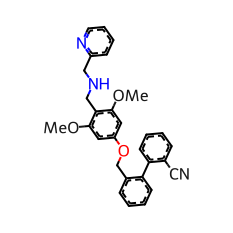 COc1cc(OCc2ccccc2-c2ccccc2C#N)cc(OC)c1CNCc1ccccn1